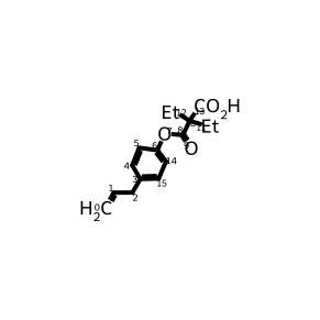 C=CCc1ccc(OC(=O)C(CC)(CC)C(=O)O)cc1